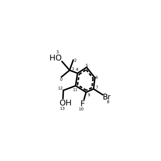 CC(C)(O)c1ccc(Br)c(F)c1CO